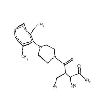 CCCC(C(N)=O)C(CC(C)C)C(=O)N1CCN(c2c(C)cccc2C)CC1